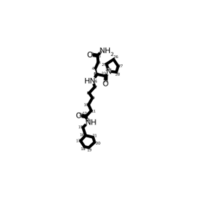 NC(=O)CC[C@H](NCCCCCC(=O)NCC1CCCCC1)C(=O)N1CCCC1